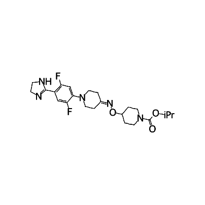 CC(C)OC(=O)N1CCC(ON=C2CCN(c3cc(F)c(C4=NCCN4)cc3F)CC2)CC1